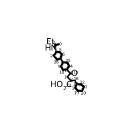 C=C(CC)Nc1ccc(-c2ccc(C(=O)CC(Cc3ccccc3)C(=O)O)cc2)cc1